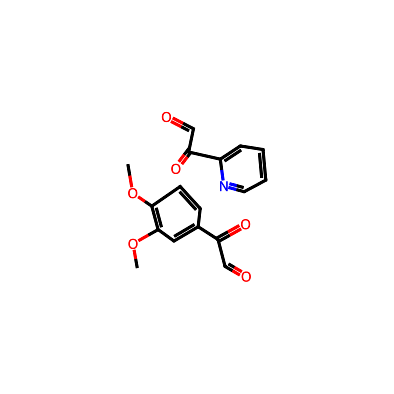 COc1ccc(C(=O)C=O)cc1OC.O=CC(=O)c1ccccn1